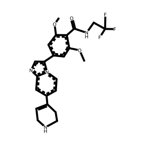 COc1cc(-c2cnc3cc(C4=CCNCC4)ccn23)cc(OC)c1C(=O)NCC(F)(F)F